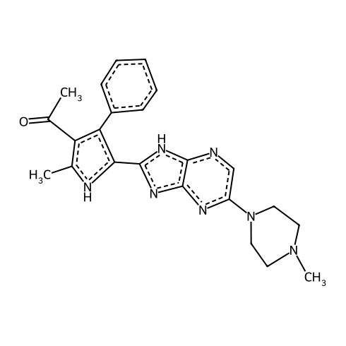 CC(=O)c1c(C)[nH]c(-c2nc3nc(N4CCN(C)CC4)cnc3[nH]2)c1-c1ccccc1